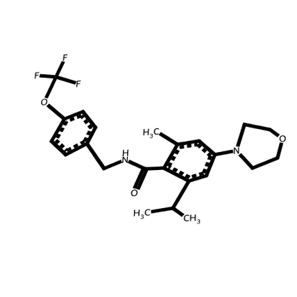 Cc1cc(N2CCOCC2)cc(C(C)C)c1C(=O)NCc1ccc(OC(F)(F)F)cc1